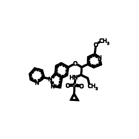 CCC(NS(=O)(=O)C1CC1)C(Oc1ccc2c(cnn2-c2ccccn2)c1)c1ccnc(OC)c1